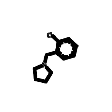 Clc1c[c]ccc1CN1CCCC1